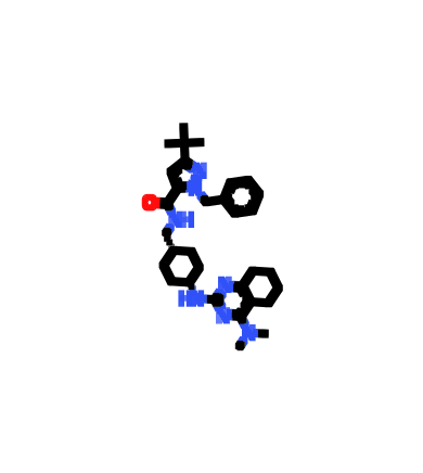 CN(C)c1nc(N[C@H]2CC[C@@H](CNC(=O)c3cc(C(C)(C)C)nn3Cc3ccccc3)CC2)nc2c1CCCC2